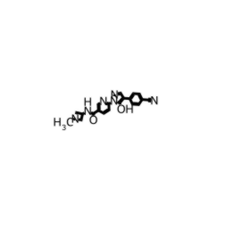 CN1CC(NC(=O)c2ccc(-n3ncc(-c4ccc(C#N)cc4)c3O)nc2)C1